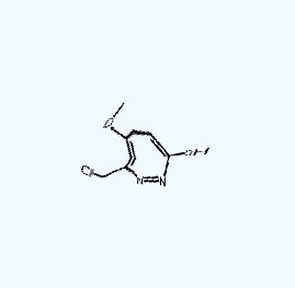 COc1cc(O)nnc1Cl